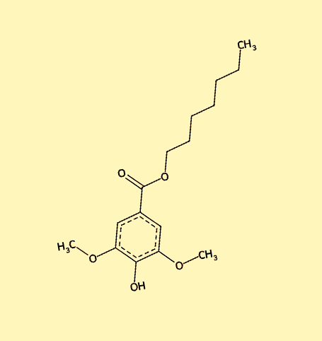 CCCCCCCOC(=O)c1cc(OC)c(O)c(OC)c1